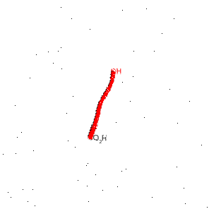 O=C(O)CCCCCCCCCCCCCCCCCCCCCCCCCCCCCCCCCCCCCCCCCCCCCCCCCCCO